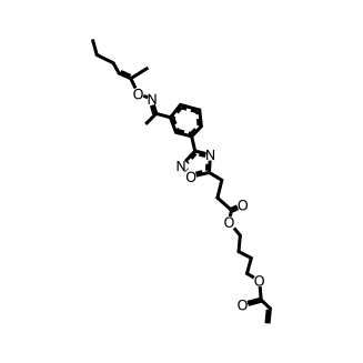 C=CC(=O)OCCCCOC(=O)CCc1nc(-c2cccc(/C(C)=N/O/C(C)=C/CCC)c2)no1